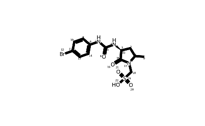 CC1C[C@H](NC(=O)Nc2ccc(Br)cc2)C(=O)N1CS(=O)(=O)O